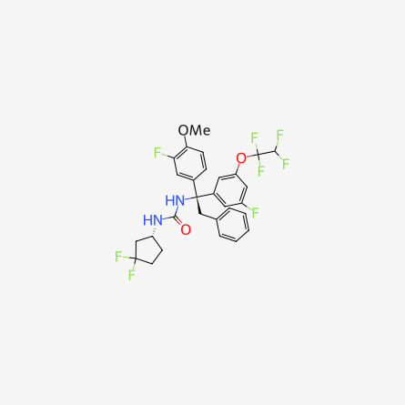 COc1ccc([C@@](Cc2ccccc2)(NC(=O)N[C@@H]2CCC(F)(F)C2)c2cc(F)cc(OC(F)(F)C(F)F)c2)cc1F